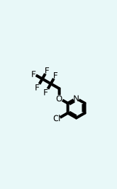 FC(F)(F)C(F)(F)COc1ncccc1Cl